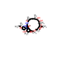 CO[C@H]1/C=C/O[C@@]2(C)Oc3c(C)c(O)c4c(=O)c(c5[nH]c6cc(OC(C)C)ccc6nc-5c4c3C2=O)NC(=O)/C(C)=C\C=C\[C@H](C)[C@H](O)C[C@@H](O)[C@@H](C)[C@H](OC(C)=O)[C@@H]1C